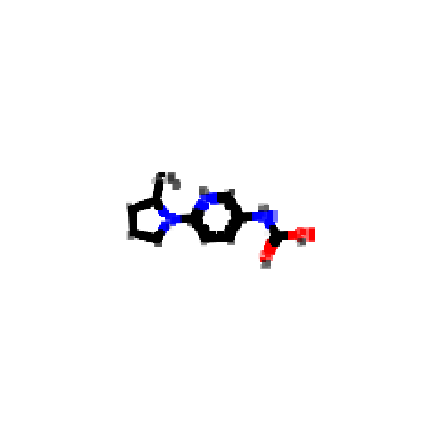 CC1CCCN1c1ccc(NC(=O)O)cn1